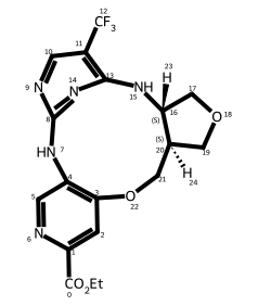 CCOC(=O)c1cc2c(cn1)Nc1ncc(C(F)(F)F)c(n1)N[C@@H]1COC[C@H]1CO2